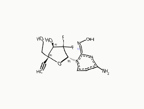 C#C[C@]1(CO)O[C@@H](n2ccc(N)n/c2=N\O)C(F)(F)[C@@H]1O